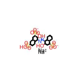 O=S(=O)([O-])c1cc2cc(S(=O)(=O)O)ccc2c(N=Nc2c(O)cc(S(=O)(=O)[O-])c3ccccc23)c1O.[Na+].[Na+]